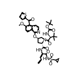 C=C/C=C(/NC(=O)[C@@H]1C[C@@H](Oc2nccc3c(C(=O)c4cccs4)c(OC)ccc23)CN1C(=O)[C@@H](NC(=O)OC(C)(C)C)C(C)(C)C)C(=O)NS(=O)(=O)C1CC1